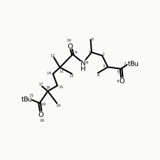 CC(CC(C)C(=O)C(C)(C)C)NC(=O)C(C)(C)CCC(C)(C)C(=O)C(C)(C)C